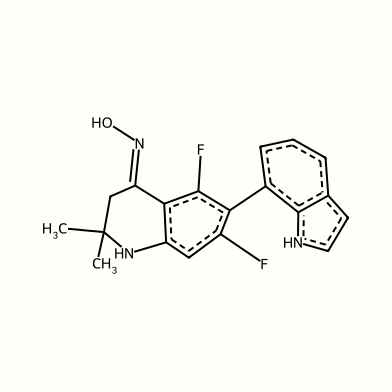 CC1(C)CC(=NO)c2c(cc(F)c(-c3cccc4cc[nH]c34)c2F)N1